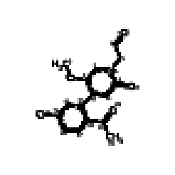 COc1cn(CC=O)c(=O)cc1-c1cc(Cl)ccc1C(C)=O